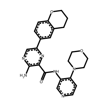 Nc1ncc(-c2ccc3c(c2)CCCO3)nc1C(=O)Nc1cnccc1N1CCOCC1